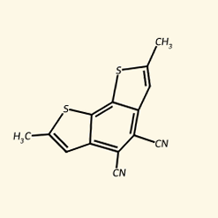 Cc1cc2c(C#N)c(C#N)c3cc(C)sc3c2s1